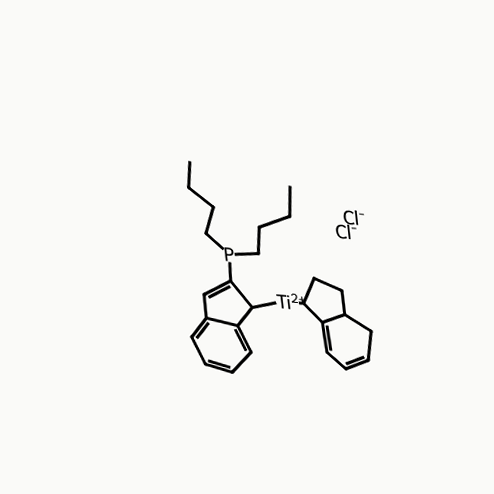 CCCCP(CCCC)C1=Cc2ccccc2[CH]1[Ti+2][CH]1CCC2CC=CC=C21.[Cl-].[Cl-]